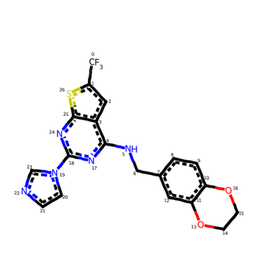 FC(F)(F)c1cc2c(NCc3ccc4c(c3)OCCO4)nc(-n3ccnc3)nc2s1